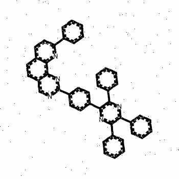 c1ccc(-c2ccc3ccc4cnc(-c5ccc(-c6nc(-c7ccccc7)c(-c7ccccc7)nc6-c6ccccc6)cc5)nc4c3n2)cc1